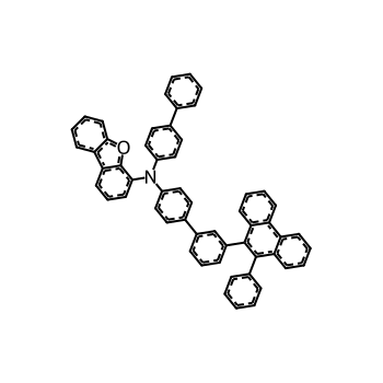 c1ccc(-c2ccc(N(c3ccc(-c4cccc(-c5c(-c6ccccc6)c6ccccc6c6ccccc56)c4)cc3)c3cccc4c3oc3ccccc34)cc2)cc1